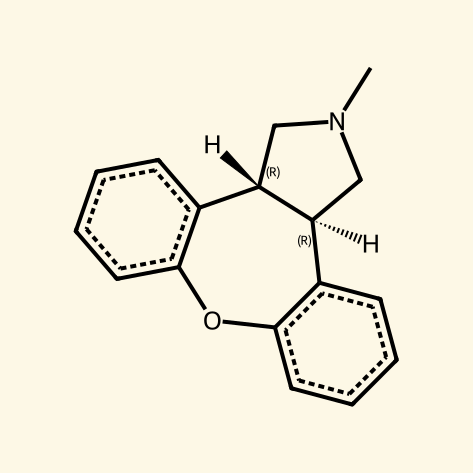 CN1C[C@H]2c3ccccc3Oc3ccccc3[C@@H]2C1